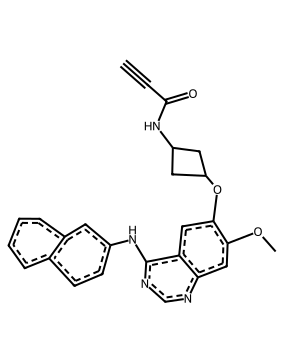 C#CC(=O)NC1CC(Oc2cc3c(Nc4ccc5ccccc5c4)ncnc3cc2OC)C1